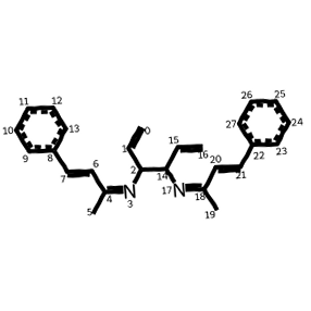 C=CC(/N=C(C)\C=C\c1ccccc1)C(C=C)/N=C(C)\C=C\c1ccccc1